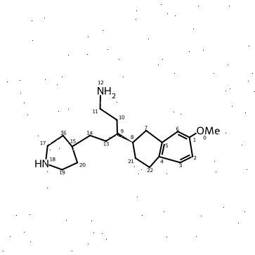 COc1ccc2c(c1)C[C@H](C(CCN)CCC1CCNCC1)CC2